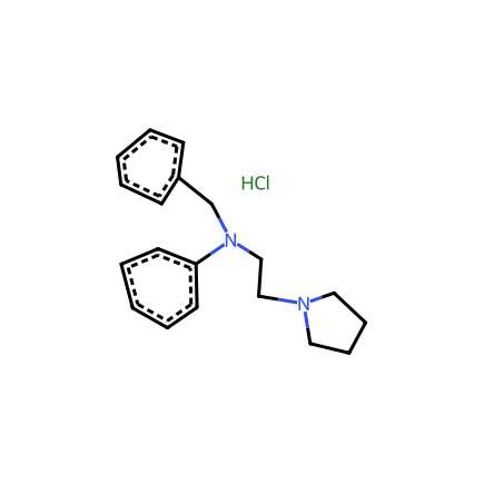 Cl.c1ccc(CN(CCN2CCCC2)c2ccccc2)cc1